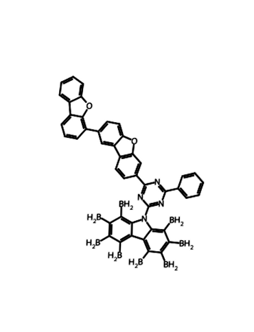 Bc1c(B)c(B)c2c(c1B)c1c(B)c(B)c(B)c(B)c1n2-c1nc(-c2ccccc2)nc(-c2ccc3c(c2)oc2ccc(-c4cccc5c4oc4ccccc45)cc23)n1